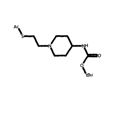 CC(=O)SCCN1CCC(NC(=O)OC(C)(C)C)CC1